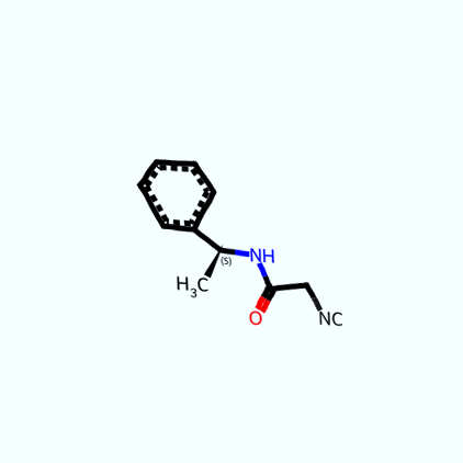 [C-]#[N+]CC(=O)N[C@@H](C)c1ccccc1